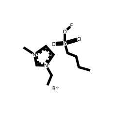 CCCCS(=O)(=O)OF.CC[n+]1ccn(C)c1.[Br-]